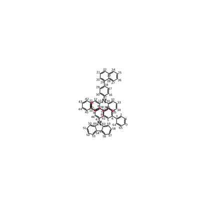 c1ccc(-c2ccc(-c3ccccc3N(c3ccc(-c4cccc5ccccc45)cc3)c3ccccc3-c3cc(-c4ccccc4)cc(-n4c5ccccc5c5ccccc54)c3)cc2)cc1